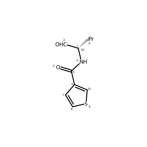 CC(C)[C@@H](C=O)NC(=O)c1ccsc1